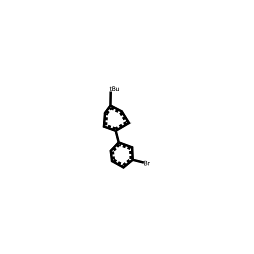 CC(C)(C)c1c[c]c(-c2cccc(Br)c2)cc1